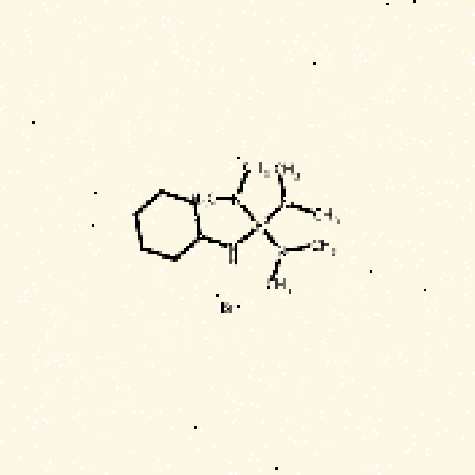 CN(C)[P+](NC1CCCCC1)(N(C)C)N(C)C.[Br-]